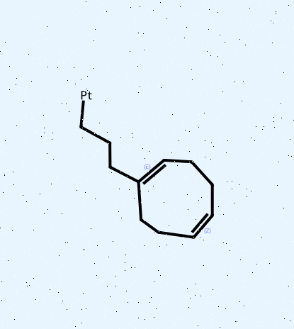 [Pt][CH2]CC/C1=C/CC/C=C\CC1